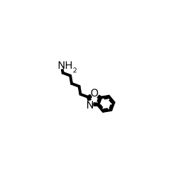 NCCCCCc1nc2ccccc2o1